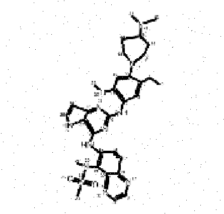 CCc1cc(Nc2nc(Nc3ccc4nccnc4c3N(C)S(C)(=O)=O)c3[nH]ccc3n2)c(OC)cc1N1CCC(N(C)C)CC1